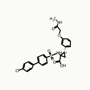 CNC(=O)COc1cccc([C@@H]2CC2(NS(=O)(=O)c2ccc(-c3ccc(Cl)cc3)cc2)C(=O)O)c1